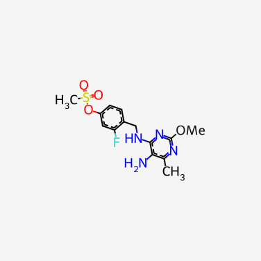 COc1nc(C)c(N)c(NCc2ccc(OS(C)(=O)=O)cc2F)n1